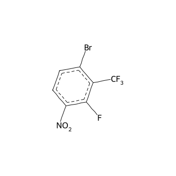 O=[N+]([O-])c1ccc(Br)c(C(F)(F)F)c1F